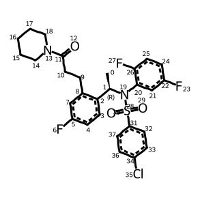 C[C@H](c1ccc(F)cc1CCC(=O)N1CCCCC1)N(c1cc(F)ccc1F)S(=O)(=O)c1ccc(Cl)cc1